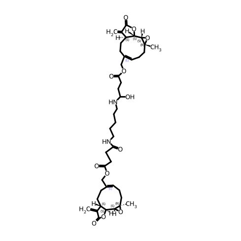 C=C1C(=O)O[C@H]2[C@H]1CC/C(COC(=O)CCC(=O)NCCCCCNC(O)CCC(=O)OC/C1=C/CC[C@@]3(C)O[C@H]3[C@H]3OC(=O)C(=C)[C@@H]3CC1)=C\CC[C@@]1(C)O[C@@H]21